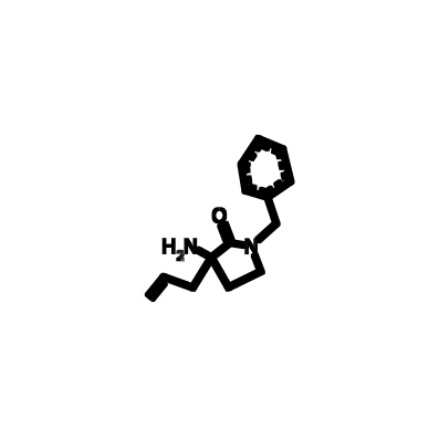 C=CCC1(N)CCN(Cc2ccccc2)C1=O